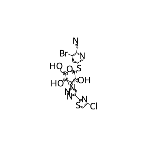 N#Cc1ncc(S[C@H]2O[C@H](CO)[C@H](O)[C@H](n3cc(-c4nc(Cl)cs4)nn3)[C@H]2O)cc1Br